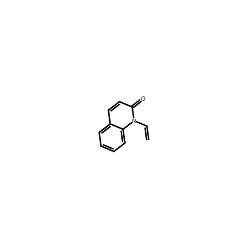 C=Cn1c(=O)ccc2ccccc21